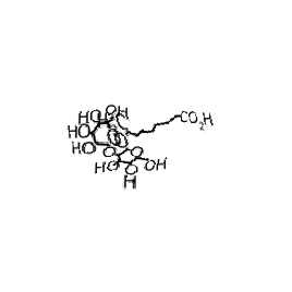 CC(CCCCCCC(=O)O)OC1OC(CO)C(O)C(O)C1OC1OC(CO)C(O)C(O)C1O